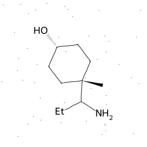 CCC(N)[C@]1(C)CC[C@H](O)CC1